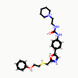 O=C(NCCN1CCCCC1)Nc1ccc(-c2cnc(CSCCOc3ccccc3)o2)cc1